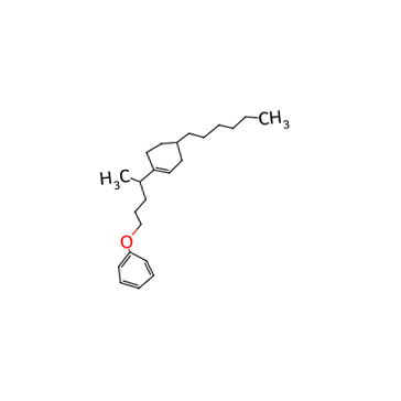 CCCCCCC1CC=C(C(C)CCCOc2ccccc2)CC1